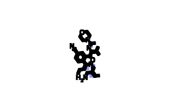 C\C=C(/C=N\C(=C\CC)c1ccc(C#N)cc1C(=O)C(/N=C(\C)N1CCOCC1)=C(C)C)CN